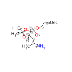 CCCCCCCCCCCCO[C@@H]1O[C@H]([C@H](C)N)[C@@H]2OC(C)(C)O[C@H]12